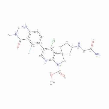 CN(C)C(=O)c1c(N)ccc(-c2cnc3c(c2Cl)C2(CCC(NCC(N)=O)C2)CN3C(=O)OC(C)(C)C)c1F